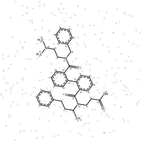 CC(CCc1ccccc1)N(CCC(=O)O)C(=O)c1ccccc1-c1ccccc1C(=O)N(CCN(C)C)Cc1ccccc1